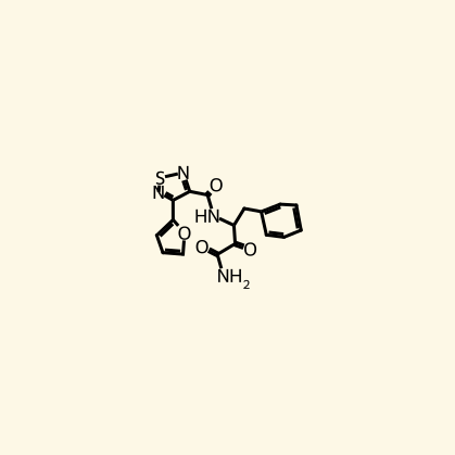 NC(=O)C(=O)C(Cc1ccccc1)NC(=O)c1nsnc1-c1ccco1